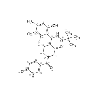 Cc1cc(O)c(C(N[S@@+]([O-])C(C)(C)C)C2CCN(C(=O)c3ccc(=O)[nH]c3)CC2)c(F)c1Cl